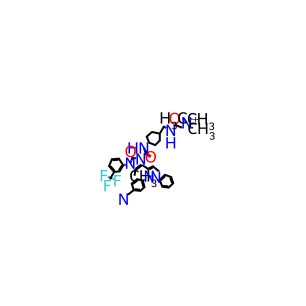 Cc1c(-c2ccnn2-c2ccc(C#N)cc2)n(C(=O)NC2CCC(CNC(=O)C[N+](C)(C)C)CC2)c(=O)n1-c1cccc(C(F)(F)F)c1.c1ccccc1